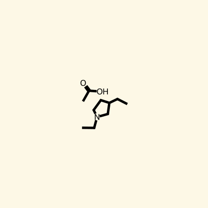 CC(=O)O.CCC1CCN(CC)C1